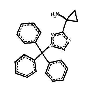 NC1(c2nnn(C(c3ccccc3)(c3ccccc3)c3ccccc3)n2)CC1